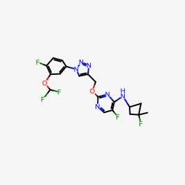 CC1(F)CC(Nc2nc(OCc3cn(-c4ccc(F)c(OC(F)F)c4)nn3)ncc2F)C1